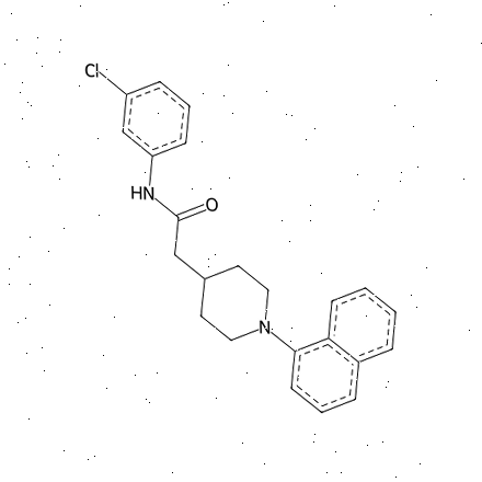 O=C(CC1CCN(c2cccc3ccccc23)CC1)Nc1cccc(Cl)c1